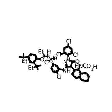 CCC(NS(=O)(=O)c1ccc(Cl)c(NC2=NN(c3c(Cl)cc(Cl)cc3Cl)C(=O)C2c2ccc3ccccc3c2NC(=O)O)c1)Oc1ccc(C(C)(C)CC)cc1C(C)(C)CC